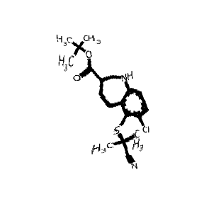 CC(C)(C)OC(=O)C1CCc2c(ccc(Cl)c2SC(C)(C)C#N)NC1